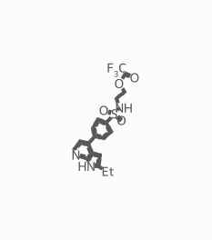 CCc1cc2c(-c3ccc(S(=O)(=O)NCCOC(=O)C(F)(F)F)cc3)ccnc2[nH]1